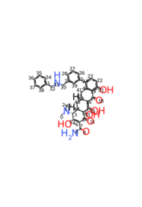 CN(C)[C@H]1C(O)=C(C(N)=O)C(=O)[C@]2(O)C(O)=C3C(=O)c4c(O)ccc(-c5cccc(CNCc6ccccc6)c5)c4C[C@@H]3C[C@H]12